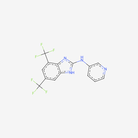 FC(F)(F)c1cc(C(F)(F)F)c2nc(Nc3cccnc3)[nH]c2c1